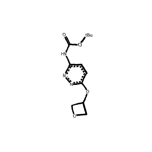 CC(C)(C)OC(=O)Nc1ccc(OC2COC2)nn1